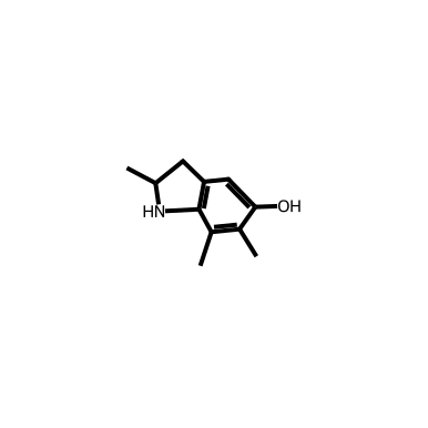 Cc1c(O)cc2c(c1C)NC(C)C2